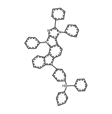 c1ccc(-c2nc3c(c4ccc5c(c6ccccc6n5-c5ccc([SiH](c6ccccc6)c6ccccc6)cc5)c4n3-c3ccccc3)n2-c2ccccc2)cc1